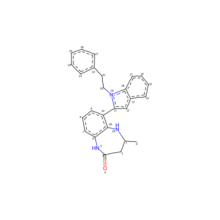 CC1CC(=O)Nc2cccc(-c3cc4ccccc4n3CCc3ccccc3)c2N1